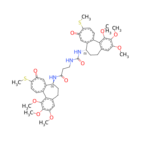 COc1cc2c(c(OC)c1OC)-c1ccc(SC)c(=O)cc1[C@@H](NC(=O)CCNC(=O)N[C@H]1CCc3cc(OC)c(OC)c(OC)c3-c3ccc(SC)c(=O)cc31)CC2